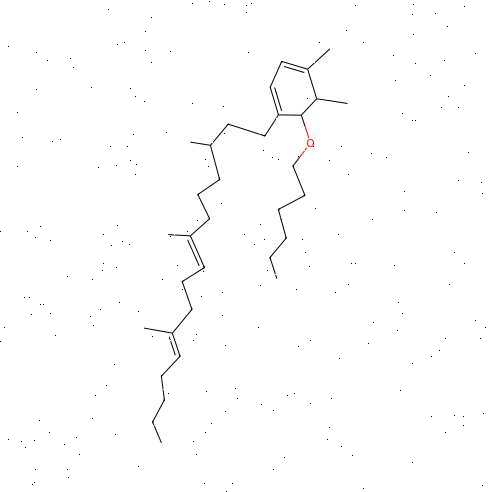 CCCC/C=C(\C)CC/C=C(\C)CCCC(C)CCC1=CC=C(C)C(C)C1OCCCCCC